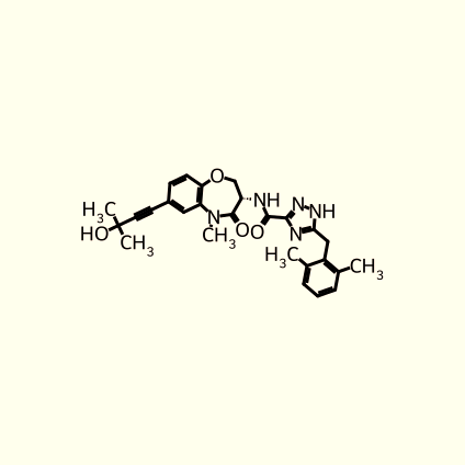 Cc1cccc(C)c1Cc1nc(C(=O)N[C@H]2COc3ccc(C#CC(C)(C)O)cc3N(C)C2=O)n[nH]1